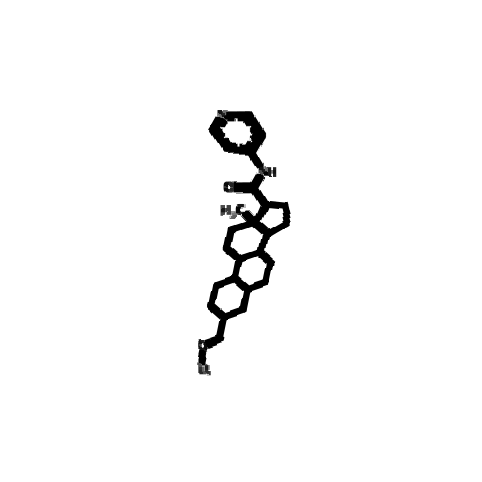 CCOCC1CCC2C(CCC3C2CCC2(C)C(C(=O)Nc4ccncc4)CCC32)C1